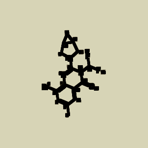 Cc1cc(Br)c2nc(N3CC4CC4C3)n(C(F)F)c(=O)c2c1